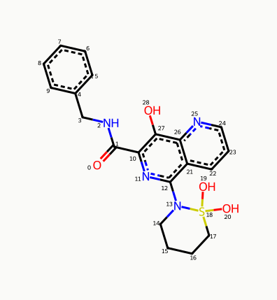 O=C(NCc1[c]cccc1)c1nc(N2CCCCS2(O)O)c2cccnc2c1O